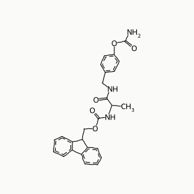 CC(NC(=O)OCC1c2ccccc2-c2ccccc21)C(=O)NCc1ccc(OC(N)=O)cc1